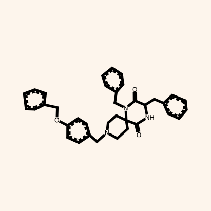 O=C1C(Cc2ccccc2)NC(=O)C2(CCN(Cc3ccc(OCc4ccccc4)cc3)CC2)N1Cc1ccccc1